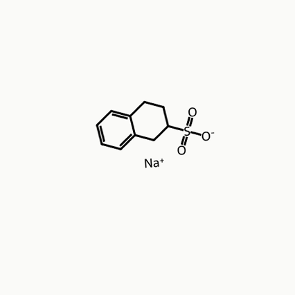 O=S(=O)([O-])C1CCc2ccccc2C1.[Na+]